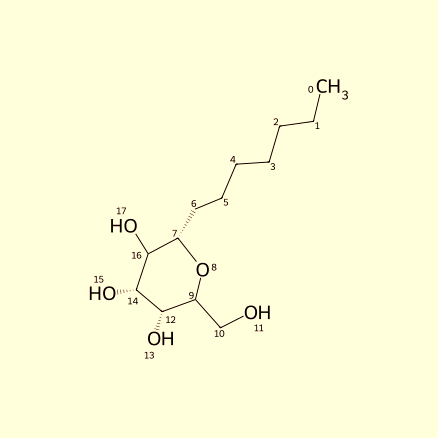 CCCCCCC[C@@H]1OC(CO)[C@H](O)[C@H](O)C1O